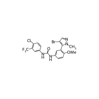 COc1ccc(NC(=O)Nc2ccc(Cl)c(C(F)(F)F)c2)cc1-c1c(Br)cnn1C